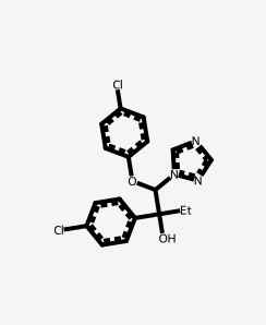 CCC(O)(c1ccc(Cl)cc1)C(Oc1ccc(Cl)cc1)n1cncn1